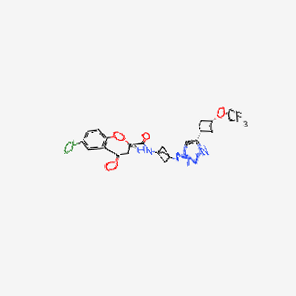 O=C1C[C@H](C(=O)NC23CC(n4cc([C@H]5C[C@@H](OC(F)(F)F)C5)nn4)(C2)C3)Oc2ccc(Cl)cc21